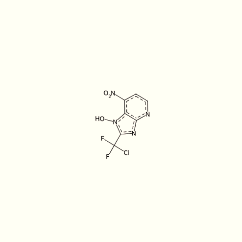 O=[N+]([O-])c1ccnc2nc(C(F)(F)Cl)n(O)c12